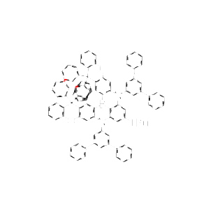 CC(C)(C)c1cc2c3c(c1)N(c1cc(-c4ccccc4)cc(-c4ccccc4)c1)c1cc4c(cc1B3c1cc3c(cc1N2c1cc(-c2ccccc2)cc(-c2ccccc2)c1)Oc1ccccc1C3(c1ccccc1)c1ccccc1)C(c1ccccc1)(c1ccccc1)c1ccccc1O4